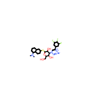 CN(C)c1cccc2cc(SC3OC(CO)C(O)C(N(/C=C(\N)c4cc(F)c(F)c(F)c4)N=[N+]=[N-])C3O)ccc12